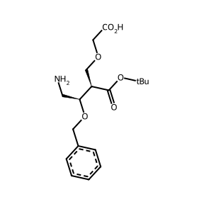 CC(C)(C)OC(=O)[C@H](COCC(=O)O)[C@H](CN)OCc1ccccc1